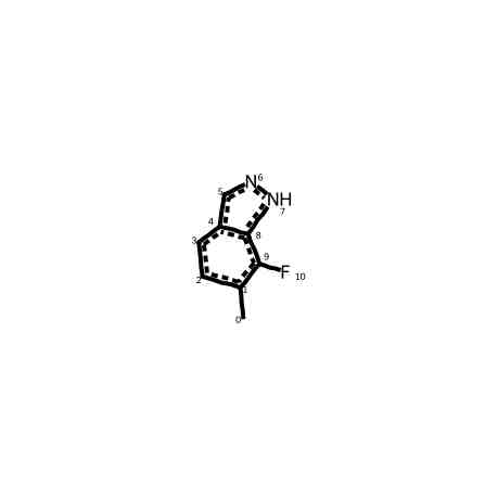 Cc1ccc2cn[nH]c2c1F